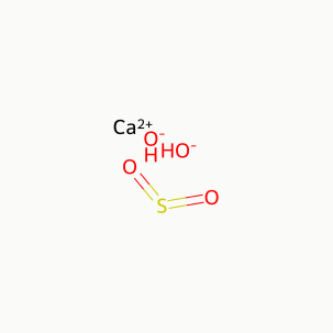 O=S=O.[Ca+2].[OH-].[OH-]